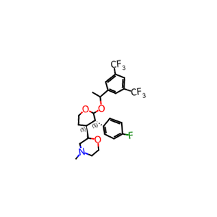 CC(OC1OCC[C@H](C2CN(C)CCO2)[C@H]1c1ccc(F)cc1)c1cc(C(F)(F)F)cc(C(F)(F)F)c1